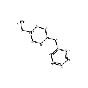 C[C](C)CN1CCC(Cc2ccccn2)CC1